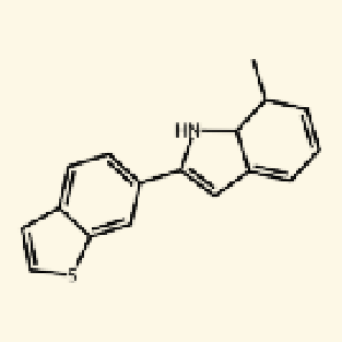 CC1C=CC=C2C=C(c3ccc4ccsc4c3)NC21